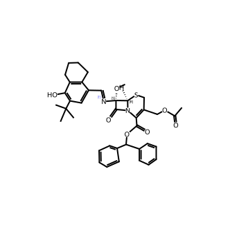 CO[C@@]1(/N=C/c2cc(C(C)(C)C)c(O)c3c2CCCC3)C(=O)N2C(C(=O)OC(c3ccccc3)c3ccccc3)=C(COC(C)=O)CS[C@@H]21